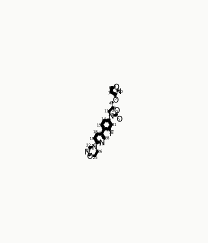 O=C1O[C@@H](COc2ccon2)CN1c1ccc(-c2ccc(N3C=NOCC3)nc2)c(F)c1